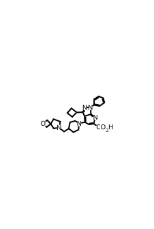 O=C(O)c1cc(N2CCC(CN3CCC4(COC4)C3)CC2)c2c(C3CCC3)nn(-c3ccccc3)c2n1